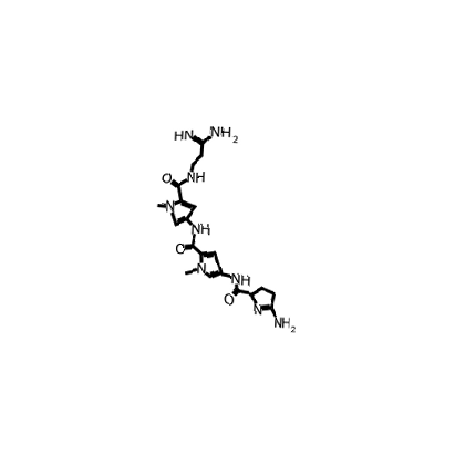 Cn1cc(NC(=O)c2cc(NC(=O)C3CCC(N)=N3)cn2C)cc1C(=O)NCCC(=N)N